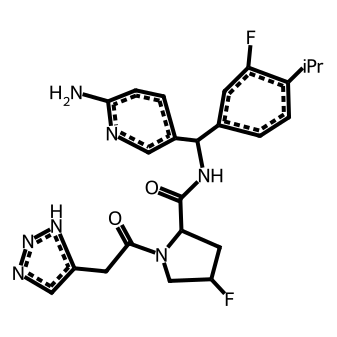 CC(C)c1ccc(C(NC(=O)C2CC(F)CN2C(=O)Cc2cnn[nH]2)c2ccc(N)nc2)cc1F